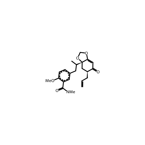 C=CC[C@H]1C[C@]2(C(C)Cc3ccc(OC)c(C(=O)NC)c3)OCOC2=CC1=O